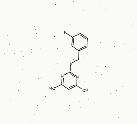 Oc1cc(O)nc(SCc2cccc(F)c2)n1